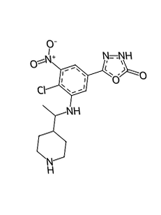 CC(Nc1cc(-c2n[nH]c(=O)o2)cc([N+](=O)[O-])c1Cl)C1CCNCC1